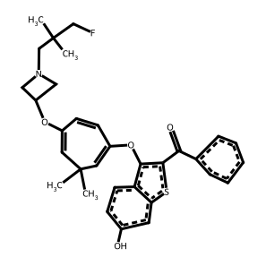 CC1(C)C=C(Oc2c(C(=O)c3ccccc3)sc3cc(O)ccc23)C=CC(OC2CN(CC(C)(C)CF)C2)=C1